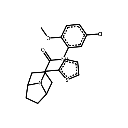 COc1ccc(Cl)cc1NC(=O)C1CC2CCC(C1)N2Cc1cccs1